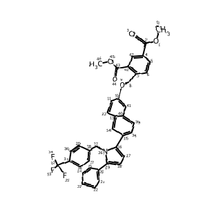 COC(=O)c1ccc(COc2ccc3cc(-c4ccc(-c5ccccc5)n4Cc4ccc(C(F)(F)F)cc4)ccc3c2)c(C(=O)OC)c1